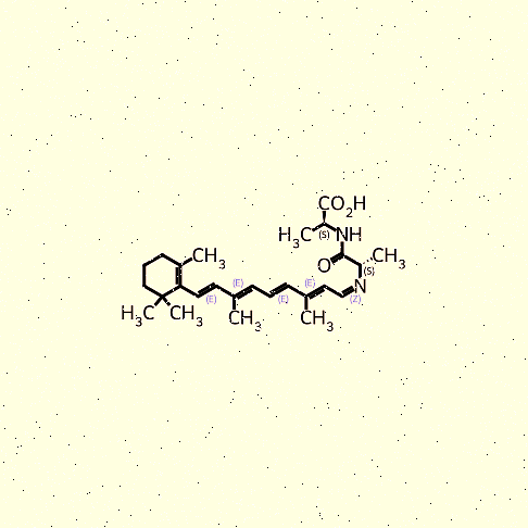 CC1=C(/C=C/C(C)=C/C=C/C(C)=C/C=N\[C@@H](C)C(=O)N[C@@H](C)C(=O)O)C(C)(C)CCC1